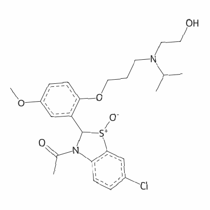 COc1ccc(OCCCN(CCO)C(C)C)c(C2N(C(C)=O)c3ccc(Cl)cc3[S+]2[O-])c1